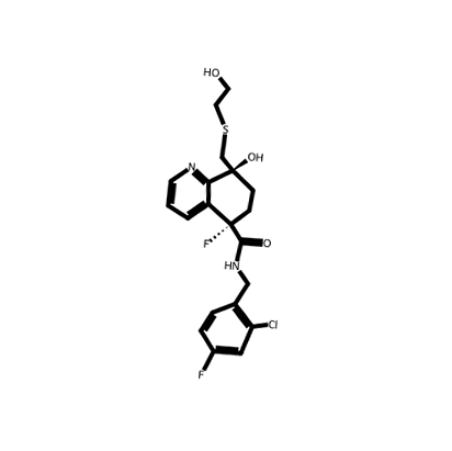 O=C(NCc1ccc(F)cc1Cl)[C@]1(F)CC[C@@](O)(CSCCO)c2ncccc21